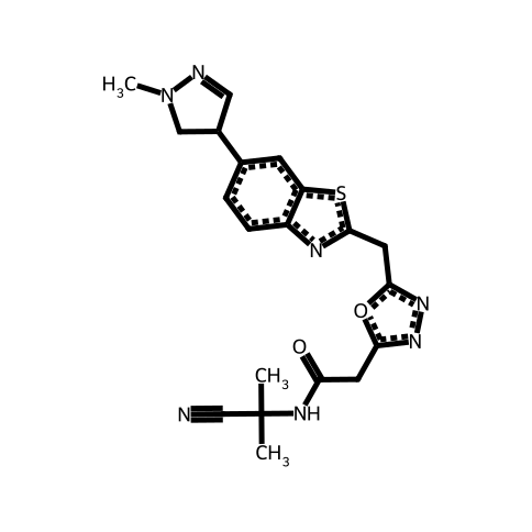 CN1CC(c2ccc3nc(Cc4nnc(CC(=O)NC(C)(C)C#N)o4)sc3c2)C=N1